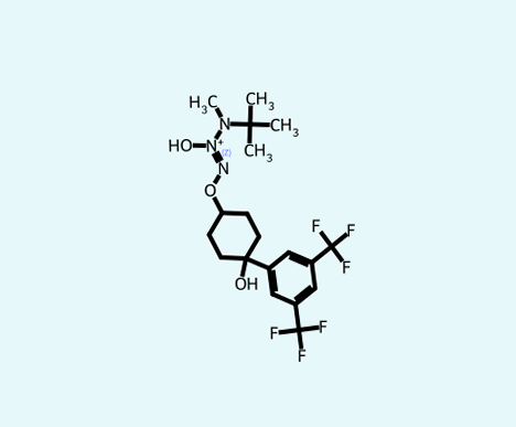 CN(/[N+](O)=N/OC1CCC(O)(c2cc(C(F)(F)F)cc(C(F)(F)F)c2)CC1)C(C)(C)C